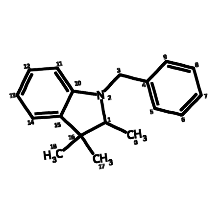 CC1N(Cc2ccccc2)c2ccccc2C1(C)C